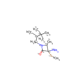 CSC1(N)C(=O)N([SiH2]C(C)C(C)(C)C)C1C